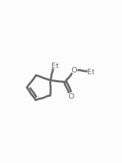 CCOC(=O)C1(CC)CC=CC1